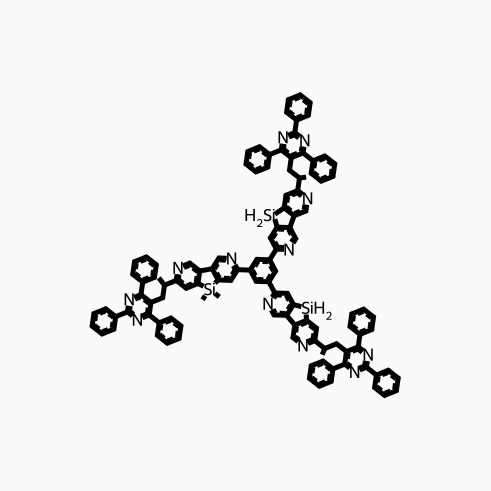 CC(Cc1c(-c2ccccc2)nc(-c2ccccc2)nc1-c1ccccc1)c1cc2c(cn1)-c1cnc(-c3cc(-c4cc5c(cn4)-c4cnc(C(C)Cc6c(-c7ccccc7)nc(-c7ccccc7)nc6-c6ccccc6)cc4[SiH2]5)cc(-c4cc5c(cn4)-c4cnc(C(C)Cc6c(-c7ccccc7)nc(-c7ccccc7)nc6-c6ccccc6)cc4[Si]5(C)C)c3)cc1[SiH2]2